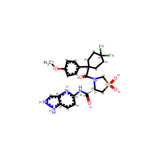 COc1ccc(C2(C(=O)N3CS(=O)(=O)C[C@@H]3C(=O)Nc3ccc4[nH]ncc4n3)CCC(F)(F)CC2)cc1